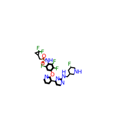 O=S(=O)(CC1CC1(F)F)Nc1c(F)cc(Oc2ncccc2-c2ccnc(NCC3CNC[C@@H](F)C3)n2)c(F)c1F